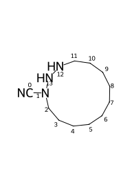 N#CN1CCCCCCCCCCNN1